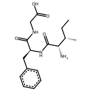 CC[C@H](C)[C@H](N)C(=O)N[C@@H](Cc1ccccc1)C(=O)NCC(=O)O